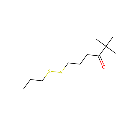 CCCSSCCCC(=O)C(C)(C)C